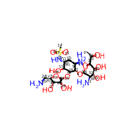 C[C@@H](O)C1O[C@H](O[C@@H]2C(N)C[C@@H](NS(C)(=O)=O)C(O)[C@H]2O[C@@H]2O[C@H](CN)[C@H](O)C2O)C(N)[C@@H](O)[C@@H]1O